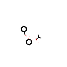 CC(C)C(=O)Oc1ccccc1OC(=O)c1ccccc1